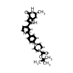 C[C@@H]1Cc2[nH]c(-c3ccnc(-c4ccc(N5CCN(C(=O)OC(C)(C)C)CC5)cc4)c3)cc2C(=O)N1